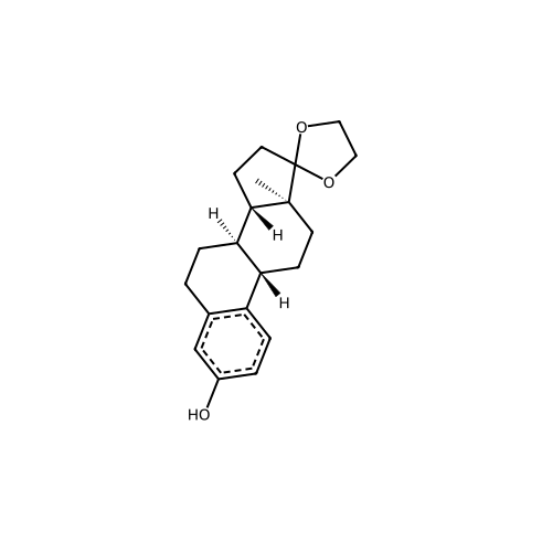 C[C@]12CC[C@@H]3c4ccc(O)cc4CC[C@H]3[C@@H]1CCC21OCCO1